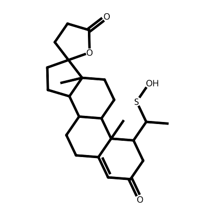 CC(SO)C1CC(=O)C=C2CCC3C(CCC4(C)C3CCC43CCC(=O)O3)C21C